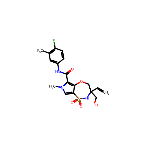 C=CC1(CO)COc2c(cn(C)c2C(=O)Nc2ccc(F)c(C(F)(F)F)c2)S(=O)(=O)N1